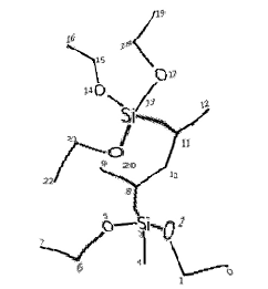 CCO[Si](C)(OCC)C(C)CC(C)[Si](OCC)(OCC)OCC